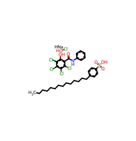 CCCCCCCCCCCCCCc1ccc(S(=O)(=O)O)cc1.O=C(Nc1ccccc1)c1c(O)c(Cl)c(Cl)c(Cl)c1Cl.OCl.[NaH]